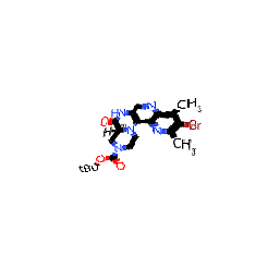 Cc1nc2c3c(cnc2c(C)c1Br)NC(=O)[C@H]1CN(C(=O)OC(C)(C)C)CCN31